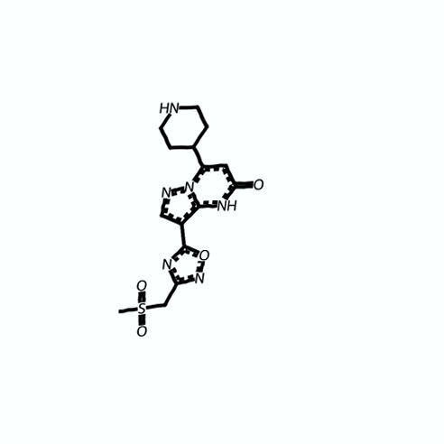 CS(=O)(=O)Cc1noc(-c2cnn3c(C4CCNCC4)cc(=O)[nH]c23)n1